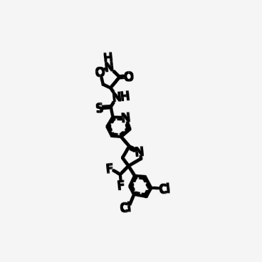 O=C1NOCC1NC(=S)c1ccc(C2=NCC(c3cc(Cl)cc(Cl)c3)(C(F)F)C2)cn1